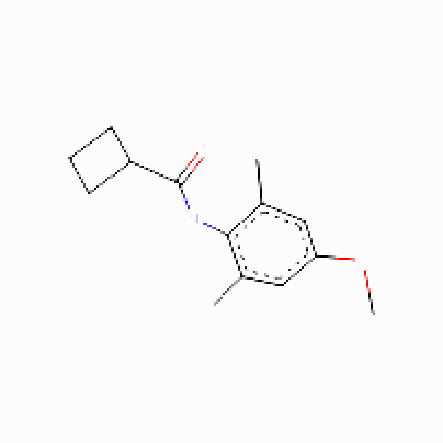 COc1cc(C)c(NC(=O)C2CCC2)c(C)c1